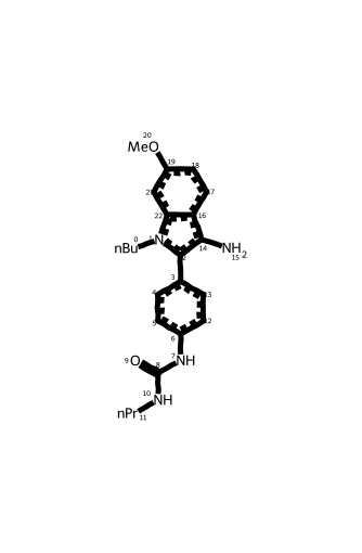 CCCCn1c(-c2ccc(NC(=O)NCCC)cc2)c(N)c2ccc(OC)cc21